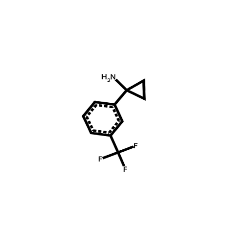 NC1(c2cccc(C(F)(F)F)c2)CC1